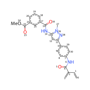 C=CC(=C)C(=O)Nc1ccc(-c2cc(NC(=O)c3cccc(C(=O)OC)c3)n(C)n2)cc1